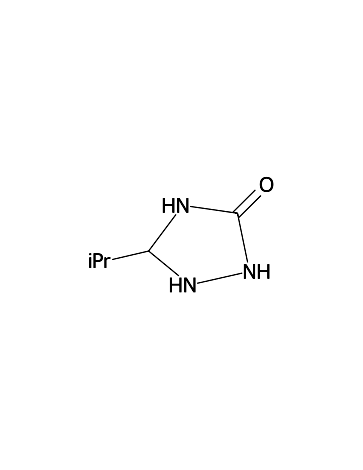 CC(C)C1NNC(=O)N1